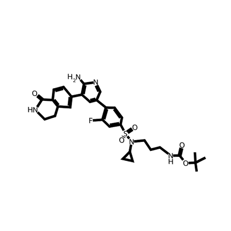 CC(C)(C)OC(=O)NCCCN(C1CC1)S(=O)(=O)c1ccc(-c2cnc(N)c(-c3ccc4c(c3)CCNC4=O)c2)c(F)c1